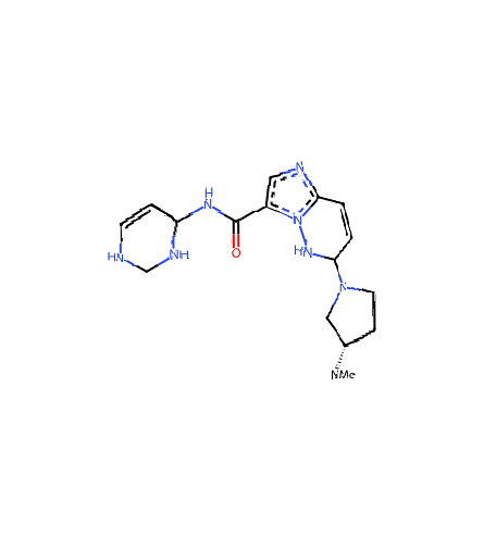 CN[C@H]1CCN(C2C=Cc3ncc(C(=O)NC4C=CNCN4)n3N2)C1